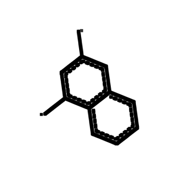 [CH2]c1cc([CH2])c2ccccc2c1